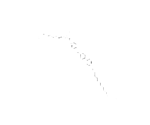 CCCCCCCCCCCCOc1ccc(-c2ccc(C(=O)Oc3ccc(OC(=O)C(C)OCCCCCCCC)cc3)cc2)cc1